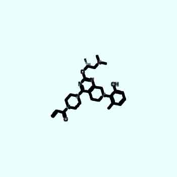 C=CC(=O)N1CCN(c2nc(O[C@H](C)CN(C)C)nc3c2CCN(c2c(C)cccc2O)C3)CC1